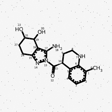 Cc1cccc2c1NCC[C@@H]2C(=O)n1nc2c(c1N)C(O)C(O)CC2